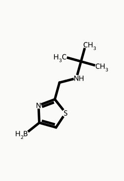 Bc1csc(CNC(C)(C)C)n1